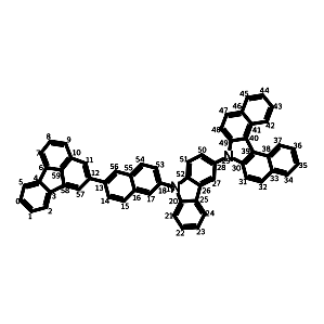 c1ccc2c(c1)-c1cccc3cc(-c4ccc5cc(-n6c7ccccc7c7cc(-n8c9ccc%10ccccc%10c9c9c%10ccccc%10ccc98)ccc76)ccc5c4)cc-2c13